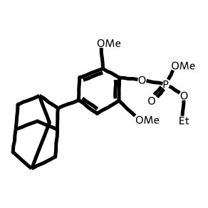 CCOP(=O)(OC)Oc1c(OC)cc(C2C3CC4CC(C3)CC2C4)cc1OC